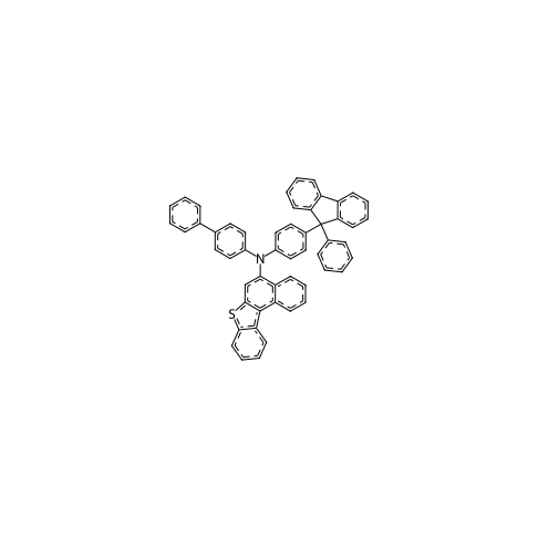 c1ccc(-c2ccc(N(c3ccc(C4(c5ccccc5)c5ccccc5-c5ccccc54)cc3)c3cc4sc5ccccc5c4c4ccccc34)cc2)cc1